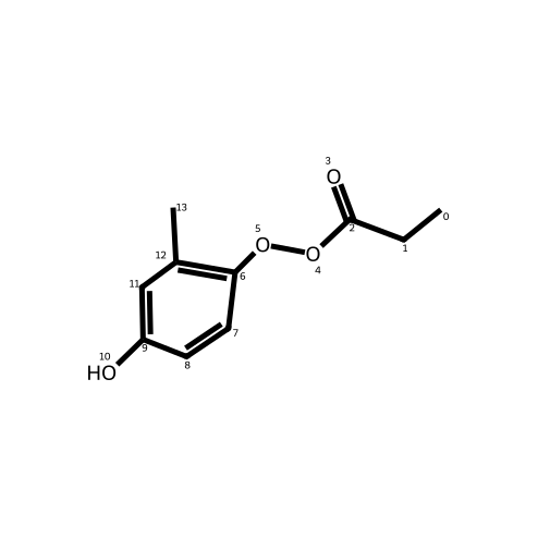 CCC(=O)OOc1ccc(O)cc1C